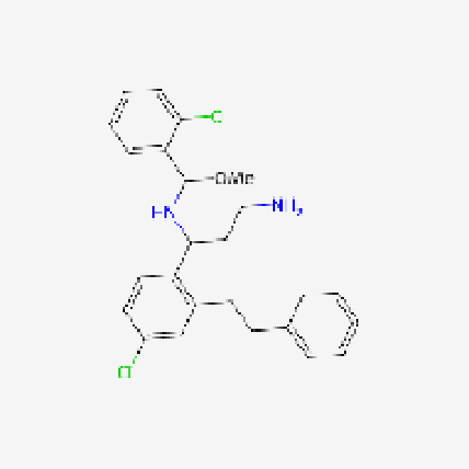 COC(NC(CCN)c1ccc(Cl)cc1CCC1=CC=C=CC1)c1ccccc1Cl